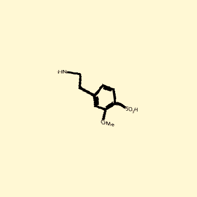 COc1cc(CC[NH])ccc1S(=O)(=O)O